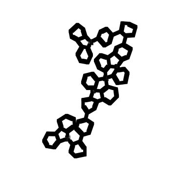 c1ccc([Si](c2ccccc2)(c2cccc3c2oc2ccc(-c4ccc(-c5ccccc5-n5c6ccccc6c6ccccc65)cc4)cc23)c2cccc3c2oc2ccc(-c4ccccc4-c4ccc(-n5c6ccccc6c6ccccc65)cc4)cc23)cc1